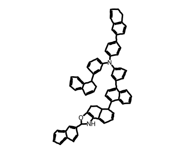 C1=CC(c2ccc(-c3cccc(N(c4ccc(-c5ccc6c(c5)C=CCC6)cc4)c4cccc(C5CC=Cc6ccccc65)c4)c3)c3ccccc23)C2CCC3=C(NC(c4ccc5ccccc5c4)O3)C2=C1